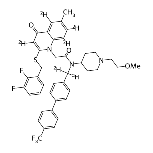 [2H]c1c(C)c([2H])c2c(=O)c([2H])c(SCc3cccc(F)c3F)n(CC(=O)N(C3CCN(CCOC)CC3)C([2H])([2H])c3ccc(-c4ccc(C(F)(F)F)cc4)cc3)c2c1[2H]